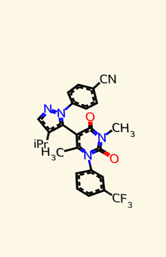 Cc1c(-c2c(C(C)C)cnn2-c2ccc(C#N)cc2)c(=O)n(C)c(=O)n1-c1cccc(C(F)(F)F)c1